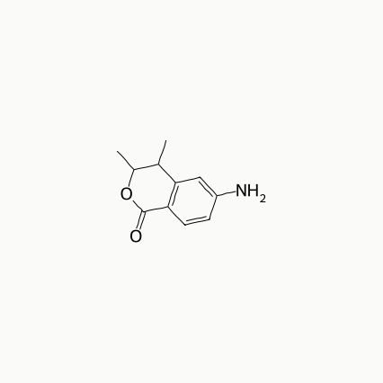 CC1OC(=O)c2ccc(N)cc2C1C